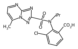 Cc1ccnc2nc(S(=O)(=O)N(c3c(Cl)cccc3C(=O)O)C(C)C)nn12